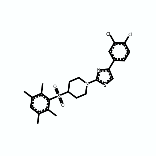 Cc1cc(C)c(C)c(S(=O)(=O)C2CCN(c3nc(-c4ccc(Cl)c(Cl)c4)cs3)CC2)c1C